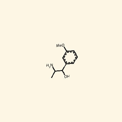 COc1cccc(C(O)C(C)N)c1